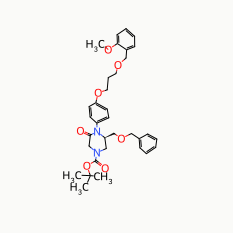 COc1ccccc1COCCCOc1ccc(N2C(=O)CN(C(=O)OC(C)(C)C)C[C@@H]2COCc2ccccc2)cc1